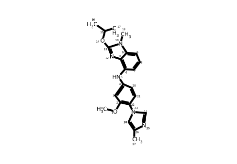 COc1cc(Nc2cccc3c2nc(OC(C)C)n3C)ccc1-n1cnc(C)c1